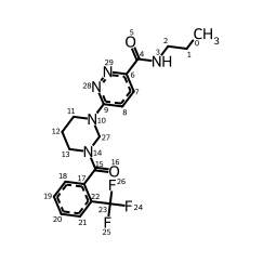 CCCNC(=O)c1ccc(N2CCCN(C(=O)c3ccccc3C(F)(F)F)C2)nn1